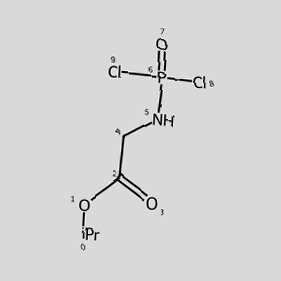 CC(C)OC(=O)CNP(=O)(Cl)Cl